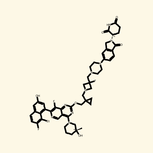 CCc1c(F)ccc2cc(O)cc(-c3ncc4c(N5CCC[C@@](C)(O)C5)nc(OCC5(CN6CC(F)(CN7CCN(c8ccc9c(c8)CN([C@H]8CCC(=O)NC8=O)C9=O)CC7)C6)CC5)nc4c3F)c12